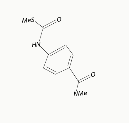 CNC(=O)c1ccc(NC(=O)SC)cc1